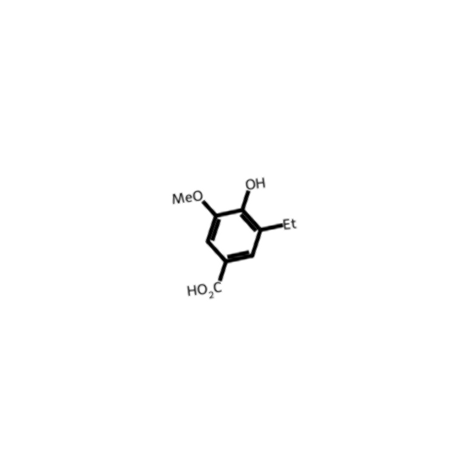 CCc1cc(C(=O)O)cc(OC)c1O